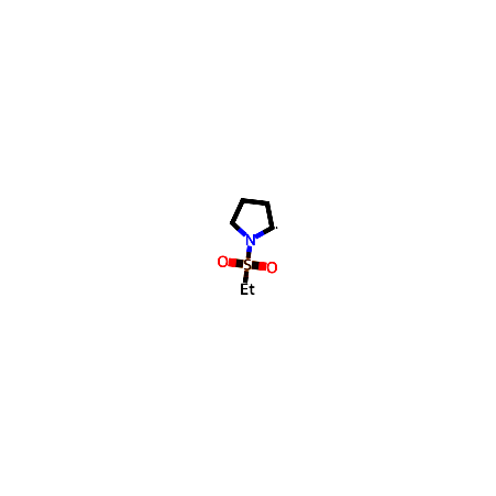 CCS(=O)(=O)N1[CH]CCC1